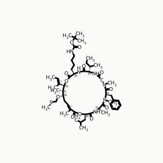 C/C=C(\C)[C@H]1OC(=O)[C@@H](CCCCNC(=O)OC(C)(C)C)NC(=O)[C@H](C(C)CC)NC(=O)CN(C)C(=O)[C@@H](Cc2ccccc2)N(C)C(=O)[C@H](C)NC(=O)[C@@H](CC(C)C)OC(=O)/C(C)=C/C[C@H](OCSC)[C@@H]1C